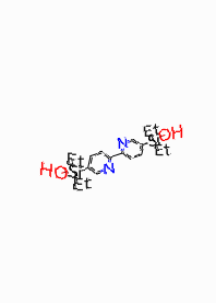 CC[Si](O)(CC)c1ccc(-c2ccc([Si](O)(CC)CC)cn2)nc1